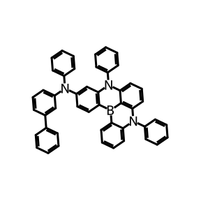 c1ccc(-c2cccc(N(c3ccccc3)c3ccc4c(c3)N(c3ccccc3)c3cccc5c3B4c3ccccc3N5c3ccccc3)c2)cc1